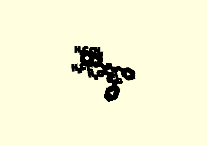 CC1(C)CCC(C)(C)c2cc(C(=NOCc3ccccc3)C(=O)NOC(=O)c3ccccc3)ccc21